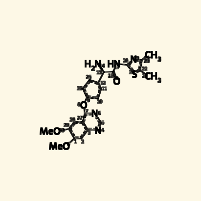 COc1cc2ncnc(Oc3ccc([C@@H](N)C(=O)Nc4nc(C)c(C)s4)cc3)c2cc1OC